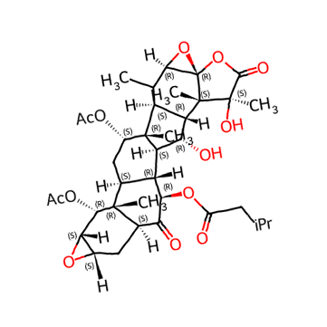 CC(=O)O[C@H]1C[C@H]2[C@H]([C@@H]3[C@@H](O)[C@@H]4[C@H](C(C)[C@H]5O[C@]56OC(=O)[C@@](C)(O)[C@]46C)[C@]31C)[C@@H](OC(=O)CC(C)C)C(=O)[C@H]1C[C@@H]3O[C@@H]3[C@H](OC(C)=O)[C@@]12C